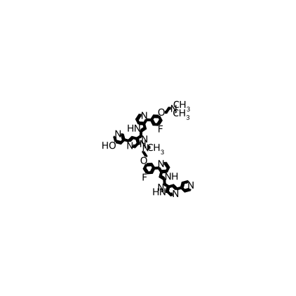 CN(C)CCOc1cc(F)cc(-c2nccc3[nH]c(-c4nn(N(C)CCOc5cc(F)cc(-c6nccc7[nH]c(-c8n[nH]c9cnc(-c%10ccncc%10)cc89)cc67)c5)c5cnc(-c6cncc(O)c6)cc45)cc23)c1